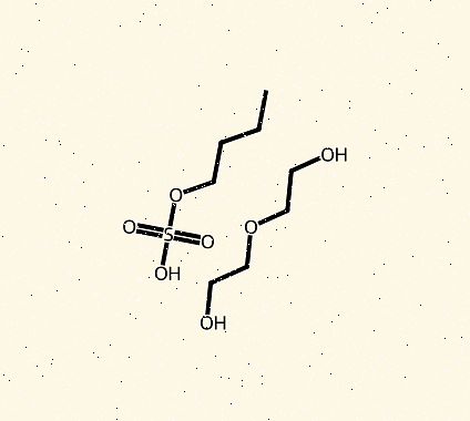 CCCCOS(=O)(=O)O.OCCOCCO